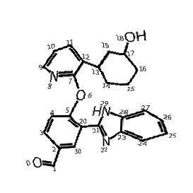 O=Cc1ccc(Oc2ncccc2C2CCCC(O)C2)c(-c2nc3ccccc3[nH]2)c1